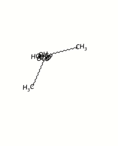 CCCCCCCCCCCCCCCC[CH2][Co](=[O])[CH2][CH](COP(=O)(O)O)[Co](=[O])[CH2]CCCCCCCCCCCCCCCC